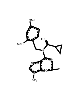 C=C(C1CC1)N(Cc1ccc(OC)cc1OC)c1nc(Cl)cc2c1ncn2C